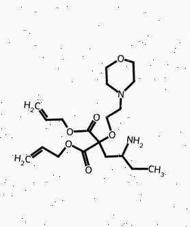 C=CCOC(=O)C(CC(N)CC)(OCCN1CCOCC1)C(=O)OCC=C